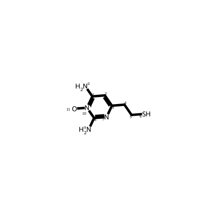 Nc1cc(CCS)nc(N)[n+]1[O-]